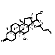 CCCC(=O)O[C@@]1(C(=O)CCl)[C@@H](C)C[C@H]2[C@@H]3CC[C@@H]4CC(=O)CC[C@]4(C)[C@@]3(F)[C@@H](O)C[C@@]21C